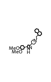 COc1ccc(-c2cc(C3CCN(CCc4cccc5ccccc45)CC3)n[nH]2)cc1OC